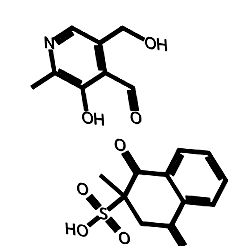 CC1(S(=O)(=O)O)CC(=O)c2ccccc2C1=O.Cc1ncc(CO)c(C=O)c1O